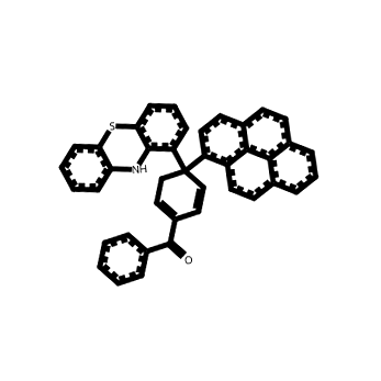 O=C(C1=CCC(c2cccc3c2Nc2ccccc2S3)(c2ccc3ccc4cccc5ccc2c3c45)C=C1)c1ccccc1